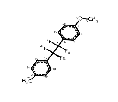 COc1ccc(C(F)(F)C(F)(F)c2ccc(C)cc2)cc1